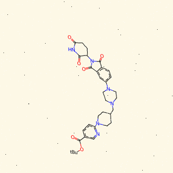 CC(C)(C)OC(=O)c1ccc(N2CCC(CN3CCN(c4ccc5c(c4)C(=O)N(C4CCC(=O)NC4=O)C5=O)CC3)CC2)nc1